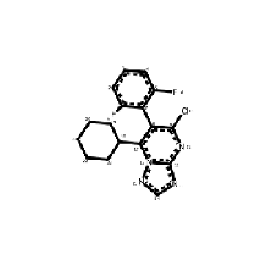 Fc1cccc(F)c1-c1c(Cl)nc2ncnn2c1C1CCCCC1